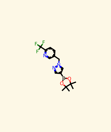 CC1(C)OB(c2cnn(Cc3ccc(C(F)(F)F)nc3)c2)OC1(C)C